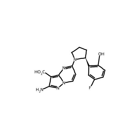 Nc1nn2ccc(N3CCC[C@H]3c3cc(F)ccc3O)nc2c1C(=O)O